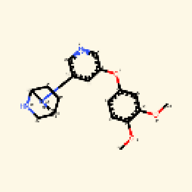 COc1ccc(Oc2cncc(N3CC4CCC(C3)NC4)c2)cc1OC